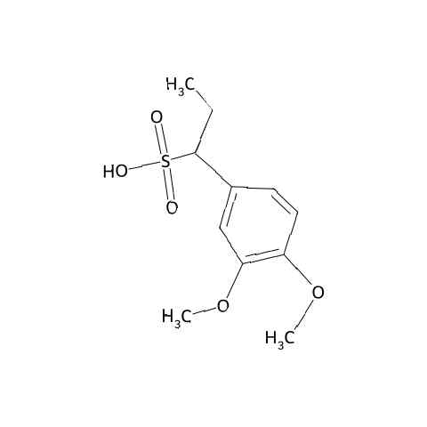 CCC(c1ccc(OC)c(OC)c1)S(=O)(=O)O